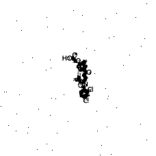 Cc1cc(C(=O)CCc2nc(-c3ccc(Cl)cc3Cl)oc2C(C)C)ccc1OCC(=O)O